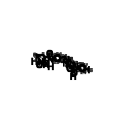 O=C(NO)C(CC1CC1)C(=O)Nc1ccc(Cn2cc(CN(c3ccc(I)cc3)[SH](=O)=O)nn2)cc1